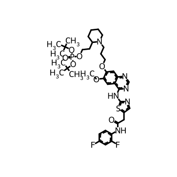 COc1cc2c(Nc3ncc(CC(=O)Nc4ccc(F)cc4F)s3)ncnc2cc1OCCCN1CCCCC1CCOP(=O)(OC(C)(C)C)OC(C)(C)C